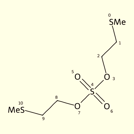 CSCCOS(=O)(=O)OCCSC